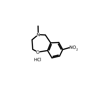 CN1CCOc2ccc([N+](=O)[O-])cc2C1.Cl